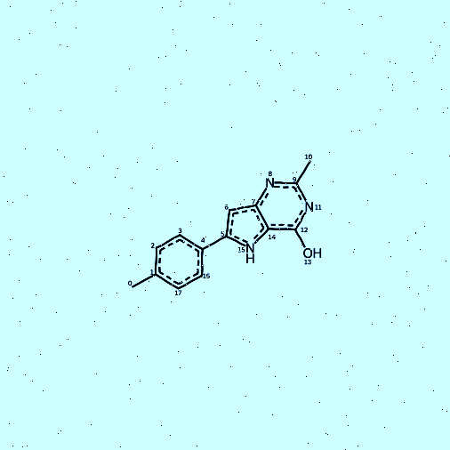 Cc1ccc(-c2cc3nc(C)nc(O)c3[nH]2)cc1